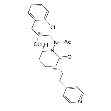 CC(=O)N(C[C@@H](Cc1ccccc1Cl)C(=O)O)N1CCC[C@@H](CCc2ccncc2)C1=O